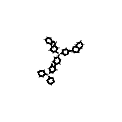 c1ccc(N(c2ccccc2)c2ccc3c(c2)oc2cc(N(c4ccc(-c5ccc6ccccc6c5)cc4)c4ccc5c(c4)oc4ccccc45)ccc23)cc1